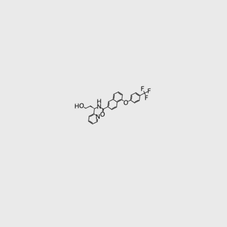 O=C(N[C@H](CCO)c1ccccn1)c1ccc2c(Oc3ccc(C(F)(F)F)cc3)cccc2c1